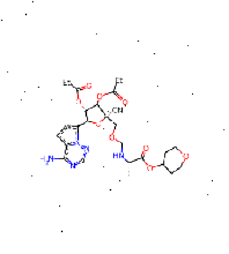 CCC(=O)O[C@H]1[C@H](c2ccc3c(N)ncnn23)O[C@](C#N)(COCN[C@@H](C)C(=O)OC2CCOCC2)[C@H]1OC(=O)CC